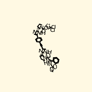 COC(=O)N[C@@H](C(=O)N1CCC[C@H]1c1nc(C#Cc2ccc(-c3cnc([C@@H]4CCCN4C(=O)OCC(Cl)(Cl)Cl)[nH]3)cc2)c[nH]1)c1ccccc1